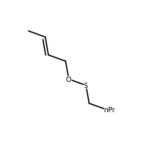 CC=CCOSCCCC